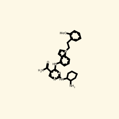 COc1ccccc1CCn1ccc2c(Nc3nc(NC4CCCCC4N)ncc3C(N)=O)cccc21